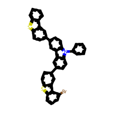 Brc1cccc2sc3ccc(-c4ccc5c(c4)c4cc(-c6ccc7sc8ccccc8c7c6)ccc4n5-c4ccccc4)cc3c12